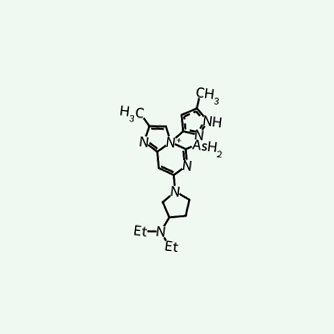 CCN(CC)C1CCN(C2=CC3=NC(C)=C[N+]3(c3cc(C)[nH]n3)C([AsH2])=N2)C1